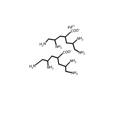 NCC(N)CC(CC(N)CN)C(=O)[O-].NCC(N)CC(CC(N)CN)C(=O)[O-].[Pd+2]